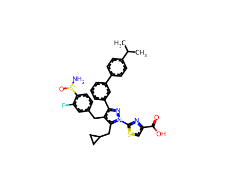 CC(C)c1ccc(-c2cccc(-c3nn(-c4nc(C(=O)O)cs4)c(CC4CC4)c3Cc3ccc([S+](N)[O-])c(F)c3)c2)cc1